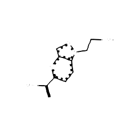 COCCn1ncc2nc(C(=O)OC)ccc21